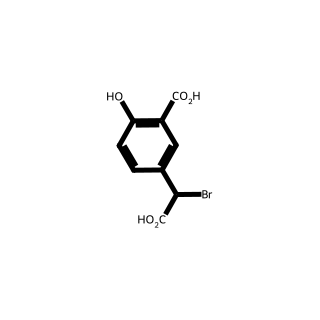 O=C(O)c1cc(C(Br)C(=O)O)ccc1O